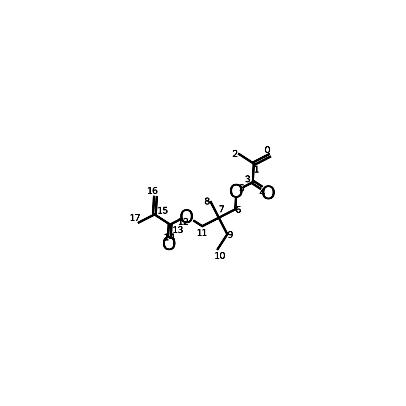 C=C(C)C(=O)OCC(C)(CC)COC(=O)C(=C)C